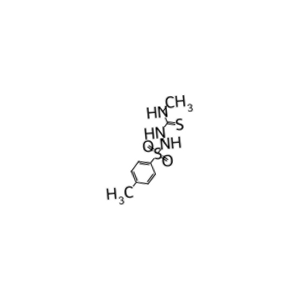 CNC(=S)NNS(=O)(=O)c1ccc(C)cc1